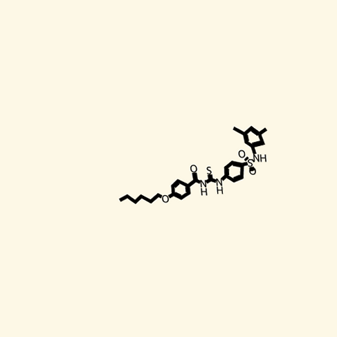 CCCCCCOc1ccc(C(=O)NC(=S)Nc2ccc(S(=O)(=O)Nc3cc(C)cc(C)c3)cc2)cc1